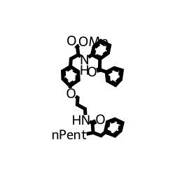 CCCCCC(Cc1ccccc1)C(=O)NCCCOc1ccc(CC(Nc2ccccc2C(=O)c2ccccc2)C(=O)OC)cc1